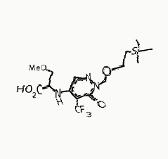 COCC(Nc1cnn(COCC[Si](C)(C)C)c(=O)c1C(F)(F)F)C(=O)O